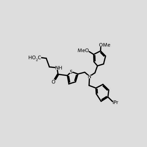 COC1=CCC(CN(Cc2ccc(C(C)C)cc2)Cc2ccc(C(=O)NCCC(=O)O)s2)C=C1OC